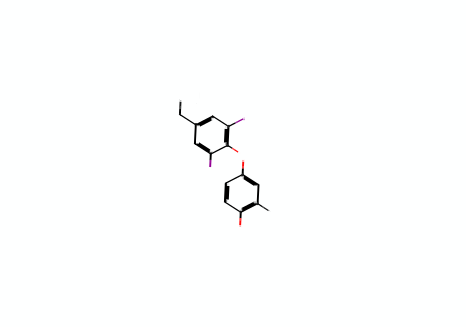 CCOC(=O)Cc1cc(I)c(Oc2ccc(O)c(C(F)(F)F)c2)c(I)c1